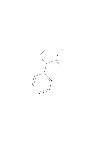 CCS(CC)(CC)C(C(=O)OC)c1ccccc1